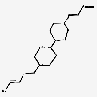 C=CCC[C@H]1CC[C@H]([C@H]2CC[C@H](COC=CCC)CC2)CC1